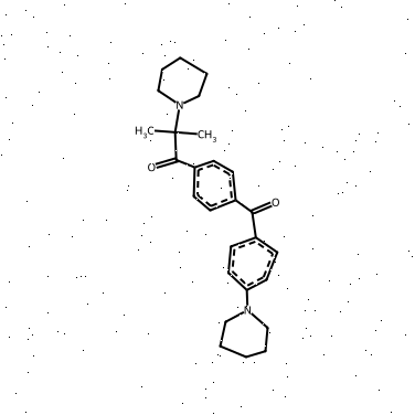 CC(C)(C(=O)c1ccc(C(=O)c2ccc(N3CCCCC3)cc2)cc1)N1CCCCC1